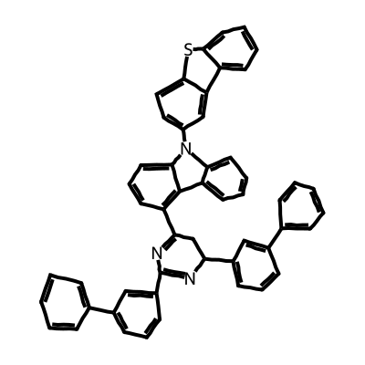 c1ccc(-c2cccc(C3=NC(c4cccc(-c5ccccc5)c4)CC(c4cccc5c4c4ccccc4n5-c4ccc5sc6ccccc6c5c4)=N3)c2)cc1